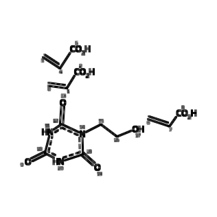 C=CC(=O)O.C=CC(=O)O.C=CC(=O)O.O=c1[nH]c(=O)n(CCO)c(=O)[nH]1